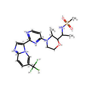 CC(NS(C)(=O)=O)C1OCCN(c2ccnc(-c3cnc4ccc(C(F)(F)F)cn34)n2)C1C